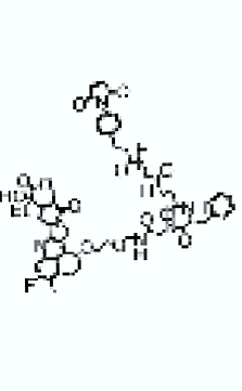 CC[C@@]1(O)C(=O)OCc2c1cc1n(c2=O)Cc2c-1nc1cc(F)c(C)c3c1c2[C@@H](OCCOCNC(=O)CNC(=O)[C@H](Cc1ccccc1)NC(=O)CNC(=O)CNC(=O)CCc1ccc(N2C(=O)C=CC2=O)cc1)CC3